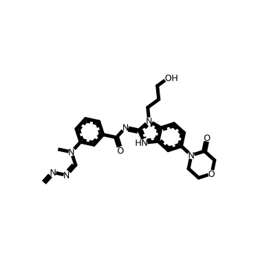 C=N/N=C\N(C)c1cccc(C(=O)/N=c2\[nH]c3cc(N4CCOCC4=O)ccc3n2CCCO)c1